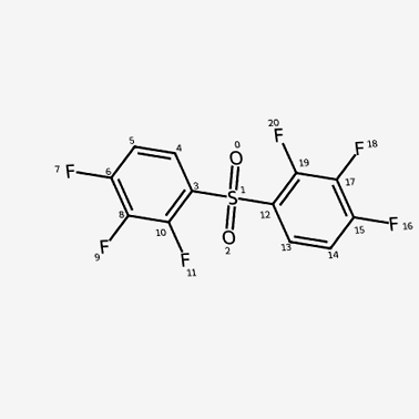 O=S(=O)(c1ccc(F)c(F)c1F)c1ccc(F)c(F)c1F